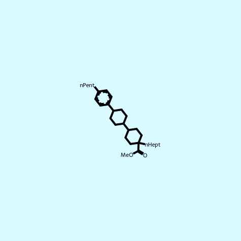 CCCCCCCC1(C(=O)OC)CCC(C2CCC(c3ccc(CCCCC)cc3)CC2)CC1